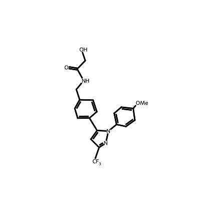 COc1ccc(-n2nc(C(F)(F)F)cc2-c2ccc(CNC(=O)CO)cc2)cc1